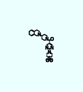 O=C(c1cnc(N2CCS(=O)(=O)CC2)nc1)N1CCC(N2CCc3ccccc3C2)CC1